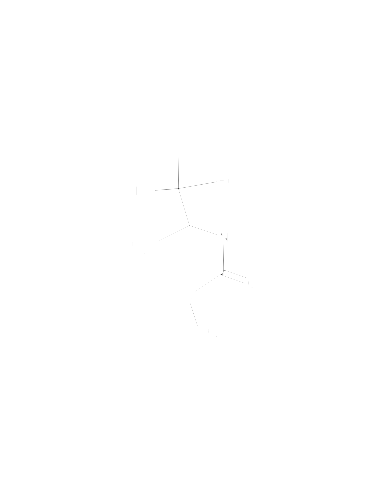 CCC(C)(C)C(NC(=O)OC(C)(C)C)C(=O)O